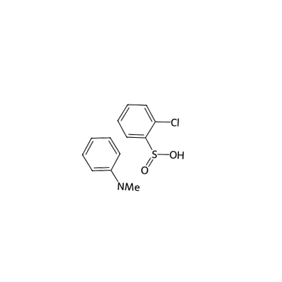 CNc1ccccc1.O=S(O)c1ccccc1Cl